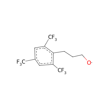 [O]CCCc1c(C(F)(F)F)cc(C(F)(F)F)cc1C(F)(F)F